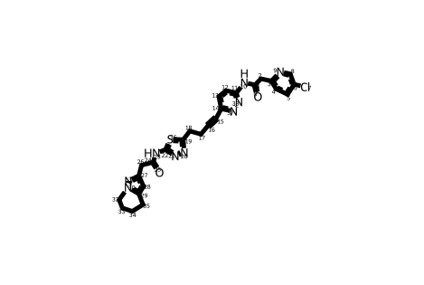 O=C(Cc1ccc(Cl)cn1)Nc1ccc(C#CCCc2nnc(NC(=O)Cc3cc4n(n3)CCCC4)s2)nn1